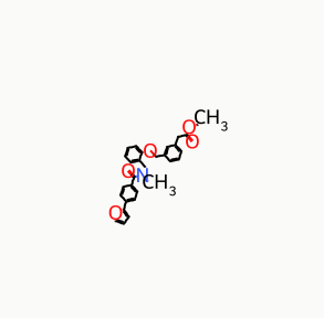 CCOC(=O)Cc1cccc(COc2ccccc2CN(C)C(=O)c2ccc(-c3ccco3)cc2)c1